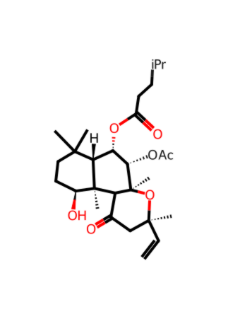 C=C[C@@]1(C)CC(=O)C2[C@@]3(C)[C@@H](O)CCC(C)(C)[C@@H]3[C@H](OC(=O)CCC(C)C)[C@H](OC(C)=O)[C@@]2(C)O1